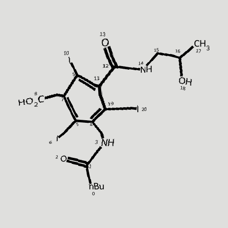 CCCCC(=O)Nc1c(I)c(C(=O)O)c(I)c(C(=O)NCC(C)O)c1I